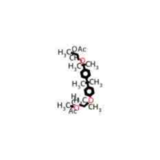 CC(=O)OC(C)(C)CCOC(C)(C)c1ccc(C(C)(C)c2ccc(OC(C)(C)CCOC(C)(C)C(C)=O)cc2)cc1